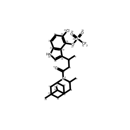 CC(CC(=O)N1C(C)CC23CC1CC(C)(C2)C3C)c1c[nH]c2ccc(Cl)c(OS(=O)(=O)C(F)(F)F)c12